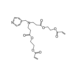 C=CC(=O)OCCOC(=O)CCN(CCC(=O)OCCOC(=O)C=C)Cc1ccncc1